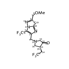 COCc1nn2c(C(F)(F)F)c(CN3CC(=O)[C@@H](CC(F)(F)F)C3)nc2s1